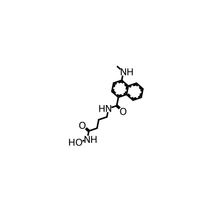 CNc1ccc(C(=O)NCCCC(=O)NO)c2ccccc12